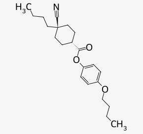 CCCCOc1ccc(OC(=O)[C@H]2CC[C@@](C#N)(CCCC)CC2)cc1